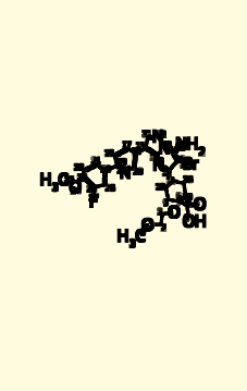 COCCO[C@]1(C(=O)O)CC[C@H](c2nc3c(-c4ccc(-c5ccc(OC)c(F)c5)nc4)cnn3c(N)c2Br)CC1